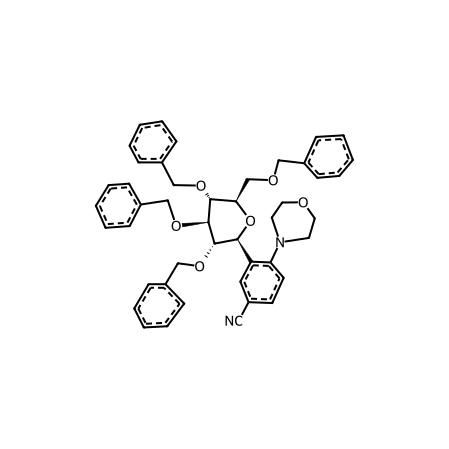 N#Cc1ccc(N2CCOCC2)c([C@@H]2O[C@H](COCc3ccccc3)[C@@H](OCc3ccccc3)[C@H](OCc3ccccc3)[C@H]2OCc2ccccc2)c1